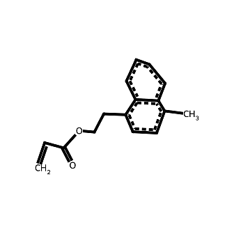 C=CC(=O)OCCc1ccc(C)c2ccccc12